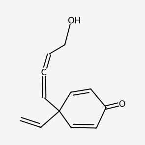 C=CC1(C=C=CCO)C=CC(=O)C=C1